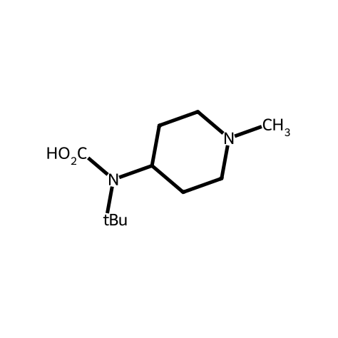 CN1CCC(N(C(=O)O)C(C)(C)C)CC1